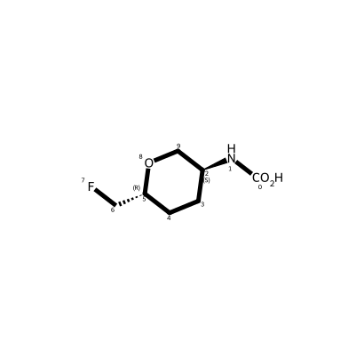 O=C(O)N[C@H]1CC[C@H](CF)OC1